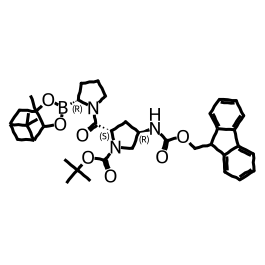 CC(C)(C)OC(=O)N1C[C@H](NC(=O)OCC2c3ccccc3-c3ccccc32)C[C@H]1C(=O)N1CCC[C@H]1B1OC2C3CC(CC2(C)O1)C3(C)C